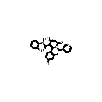 Cc1cc(=O)n(Cc2cccnc2)c(-c2ccc(Cl)cc2F)c1C(=O)N(C)c1ccccc1Cl